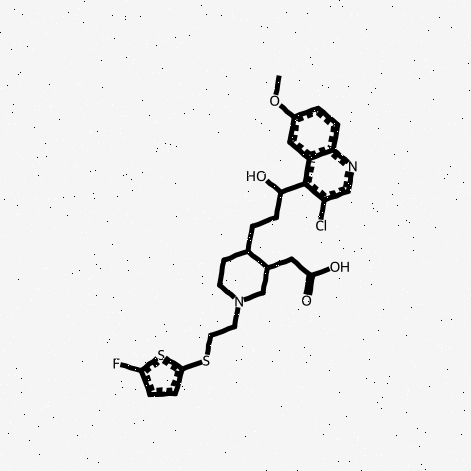 COc1ccc2ncc(Cl)c(C(O)CCC3CCN(CCSc4ccc(F)s4)CC3CC(=O)O)c2c1